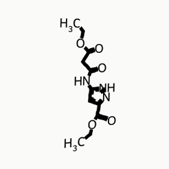 CCOC(=O)CC(=O)Nc1cc(C(=O)OCC)n[nH]1